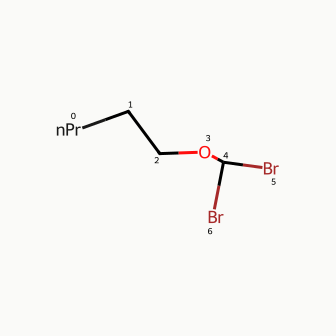 CCCCCOC(Br)Br